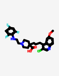 COc1ccc2ncc(Cl)c(CCCC3(C(=O)O)CCN(CCNc4c(F)cc(F)cc4F)CC3)c2c1